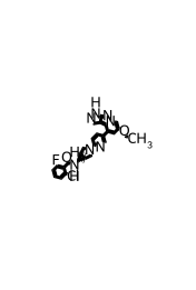 CCOc1cc(-c2ccc(N3CC4[C@@H](NC(=O)c5c(F)cccc5Cl)[C@H]4C3)nc2)c2c3cn[nH]c3nn2c1